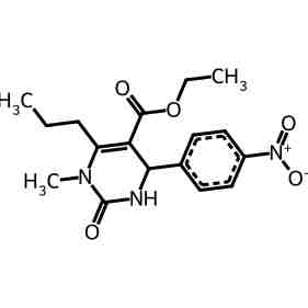 CCCC1=C(C(=O)OCC)C(c2ccc([N+](=O)[O-])cc2)NC(=O)N1C